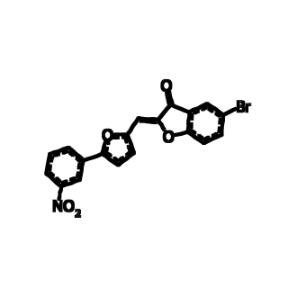 O=C1C(=Cc2ccc(-c3cccc([N+](=O)[O-])c3)o2)Oc2ccc(Br)cc21